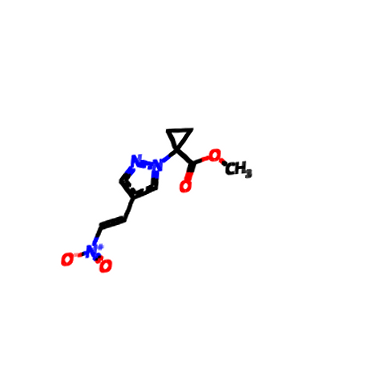 COC(=O)C1(n2cc(/C=C/[N+](=O)[O-])cn2)CC1